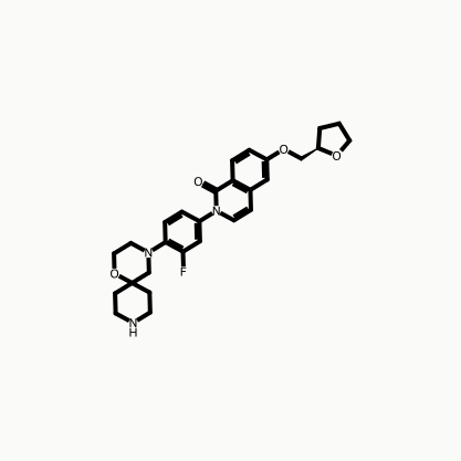 O=c1c2ccc(OC[C@H]3CCCO3)cc2ccn1-c1ccc(N2CCOC3(CCNCC3)C2)c(F)c1